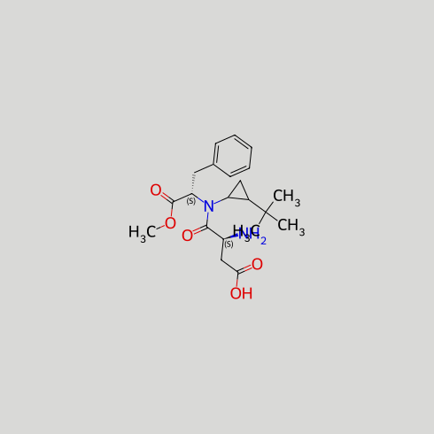 COC(=O)[C@H](Cc1ccccc1)N(C(=O)[C@@H](N)CC(=O)O)C1CC1C(C)(C)C